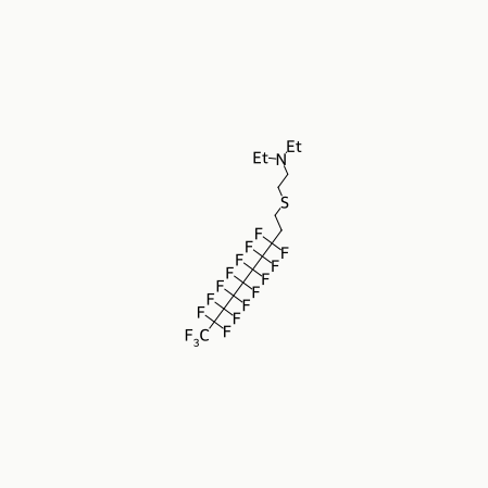 CCN(CC)CCSCCC(F)(F)C(F)(F)C(F)(F)C(F)(F)C(F)(F)C(F)(F)C(F)(F)C(F)(F)F